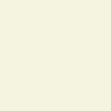 O=C(c1ccc(Oc2ccccc2)cc1Cl)c1c[nH]c2nccc(NC3CCC(C(=O)NCCO)CC3)c12